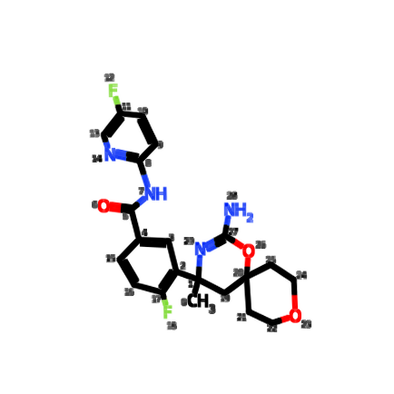 CC1(c2cc(C(=O)Nc3ccc(F)cn3)ccc2F)CC2(CCOCC2)OC(N)=N1